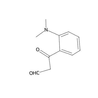 CN(C)c1ccccc1C(=O)CC=O